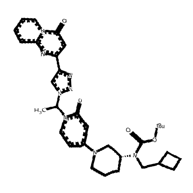 CC(n1cc(-c2cc(=O)n3ccccc3n2)nn1)n1ccc(N2CCC[C@@H](N(CC3CCC3)C(=O)OC(C)(C)C)C2)cc1=O